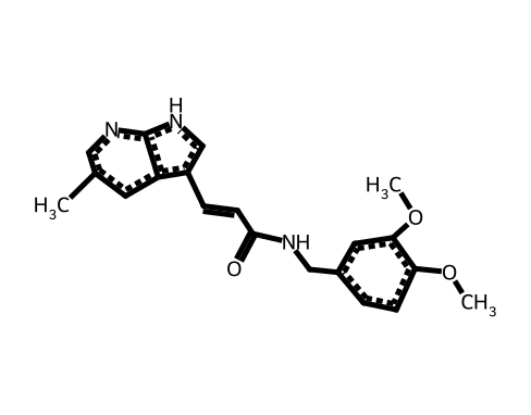 COc1ccc(CNC(=O)/C=C/c2c[nH]c3ncc(C)cc23)cc1OC